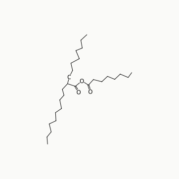 CCCCCCCCCCC(CCCCCCCC)C(=O)OC(=O)CCCCCCC